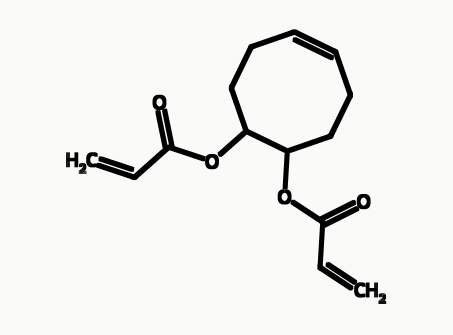 C=CC(=O)OC1CCC=CCCC1OC(=O)C=C